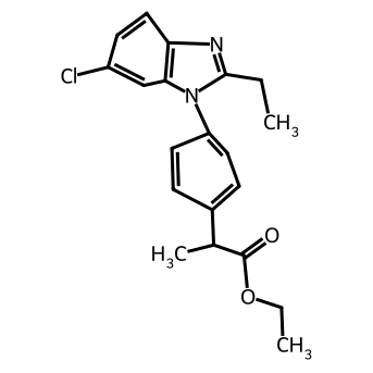 CCOC(=O)C(C)c1ccc(-n2c(CC)nc3ccc(Cl)cc32)cc1